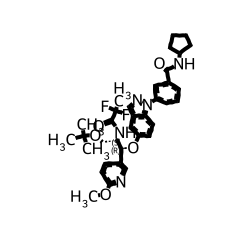 COc1ccc([C@@H](Oc2ccc3c(cnn3-c3cccc(C(=O)NC4CCCC4)c3)c2)[C@H](COC(C)(C)C)NC(=O)C(C)(F)F)cn1